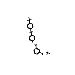 CCCC(C)(C)OC(=O)c1cccc(C(=O)Oc2ccc(C(c3ccc(C(C)(CC)CCC)cc3)(C(F)(F)F)C(F)(F)F)cc2)c1